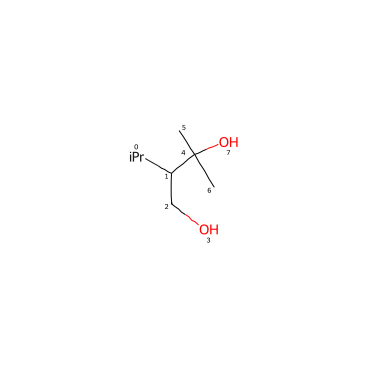 CC(C)C(CO)C(C)(C)O